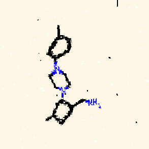 Cc1ccc(N2CCN(c3cc(C)ccc3CN)CC2)cc1